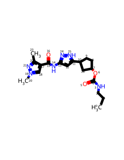 CCCNC(=O)OC1CCC(c2cc(NC(=O)c3cn(C)nc3C)n[nH]2)C1